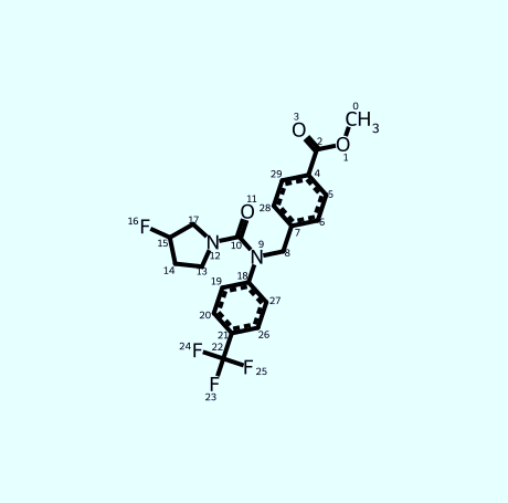 COC(=O)c1ccc(CN(C(=O)N2CCC(F)C2)c2ccc(C(F)(F)F)cc2)cc1